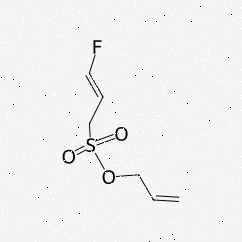 C=CCOS(=O)(=O)CC=CF